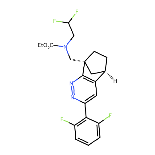 CCOC(=O)N(CC(F)F)C[C@]12CC[C@H](C1)c1cc(-c3c(F)cccc3F)nnc12